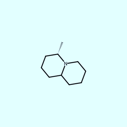 C[C@H]1CCCC2CCCCN21